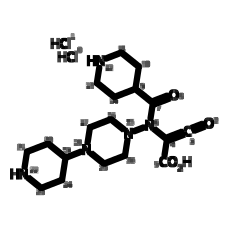 Cl.Cl.O=C=C(C(=O)O)N(C(=O)C1CCNCC1)N1CCN(C2CCNCC2)CC1